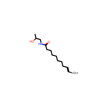 CCCCCCCCC=CCCCCCCCC(=O)NCC(C)O